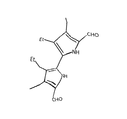 CCc1c(-c2[nH]c(C=O)c(C)c2CC)[nH]c(C=O)c1C